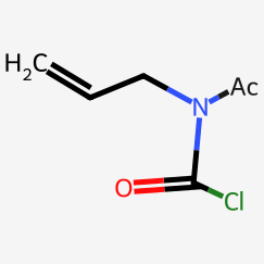 C=CCN(C(C)=O)C(=O)Cl